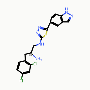 N[C@H](CNc1nnc(-c2ccc3[nH]ncc3c2)s1)Cc1ccc(Cl)cc1Cl